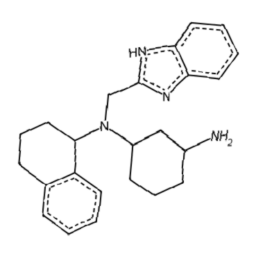 NC1CCCC(N(Cc2nc3ccccc3[nH]2)C2CCCc3ccccc32)C1